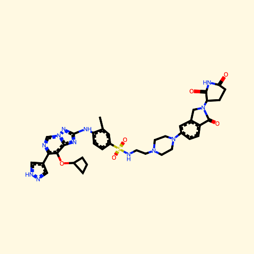 Cc1cc(S(=O)(=O)NCCN2CCN(c3ccc4c(c3)CN(C3CCC(=O)NC3=O)C4=O)CC2)ccc1Nc1nc2c(OC3CCC3)c(-c3cn[nH]c3)ncn2n1